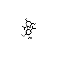 COc1cc(C2(C(C)C)OC(=O)CC(=O)O2)c(C(C)C)cc1O